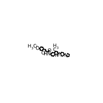 CCOc1ccc(/C=C/C(=O)Nc2ccc3nc(N4CCC(N5CCCC5)CC4)cc(C)c3c2)c(Cl)c1